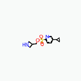 O=S(=O)(OCC1CNC1)c1ccc(C2CC2)cn1